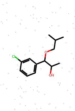 [CH2]C(O)C(OCC(C)C)c1cccc(Cl)c1